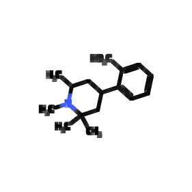 CC1CC(c2ccccc2C(=O)O)CC(C)(C)N1C